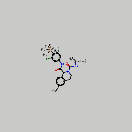 COc1ccc2c(c1)CCN(C(=O)N[C@H](C)C(=O)O)C2C(=O)Nc1cc(F)c([SH](C)(C)(C)C)c(F)c1